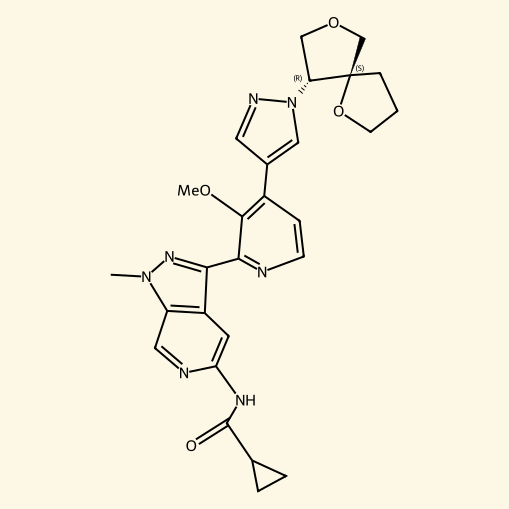 COc1c(-c2cnn([C@@H]3COC[C@]34CCCO4)c2)ccnc1-c1nn(C)c2cnc(NC(=O)C3CC3)cc12